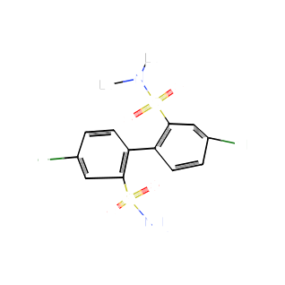 CCN(CC)S(=O)(=O)c1cc(Cl)ccc1-c1ccc(Cl)cc1S(N)(=O)=O